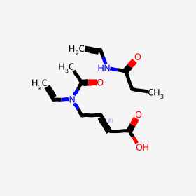 C=CN(C/C=C/C(=O)O)C(C)=O.C=CNC(=O)CC